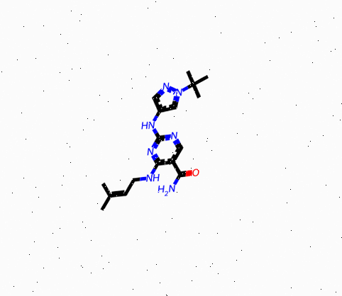 CC(C)=CCNc1nc(Nc2cnn(C(C)(C)C)c2)ncc1C(N)=O